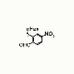 CCCCCCSc1cc([N+](=O)[O-])ccc1C=O